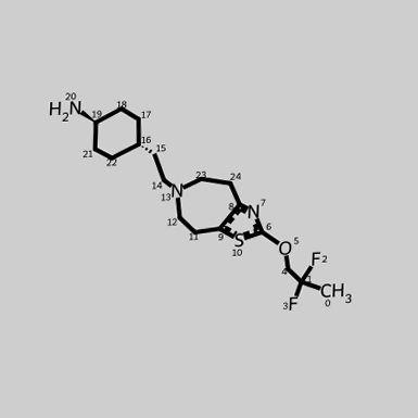 CC(F)(F)COc1nc2c(s1)CCN(CC[C@H]1CC[C@H](N)CC1)CC2